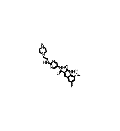 CNc1cc(F)cc2cc(C(=O)Nc3cnc(NCCN4CCN(C)CC4)nc3)c(=O)[nH]c12